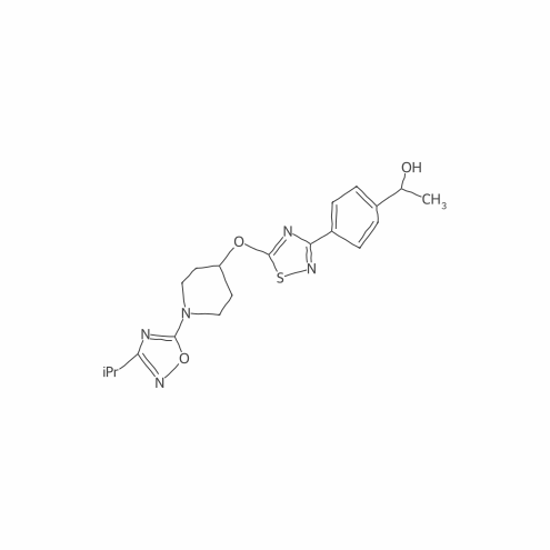 CC(C)c1noc(N2CCC(Oc3nc(-c4ccc(C(C)O)cc4)ns3)CC2)n1